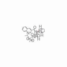 CC(C)n1c(=O)c(C(=O)N[C@@H]2C[C@H]3CC[C@@H](C2)N3C[C@@H](O)CNCS(C)(=O)=O)cc2ccccc21